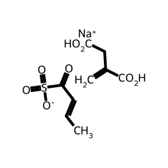 C=C(CC(=O)O)C(=O)O.CC=CC(=O)S(=O)(=O)[O-].[Na+]